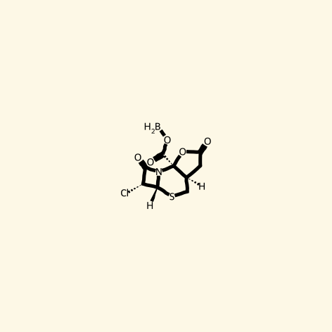 BOC(=O)[C@]12OC(=O)C[C@H]1CS[C@@H]1[C@H](Cl)C(=O)N12